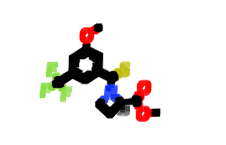 COC(=O)[C@H]1CCN1C(=S)c1cc(OC)cc(C(F)(F)F)c1